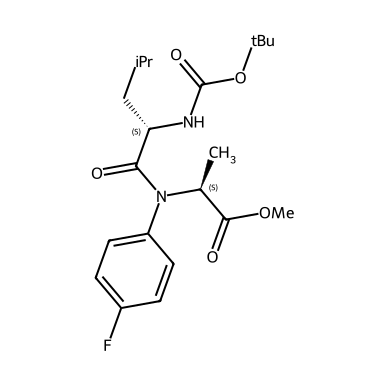 COC(=O)[C@H](C)N(C(=O)[C@H](CC(C)C)NC(=O)OC(C)(C)C)c1ccc(F)cc1